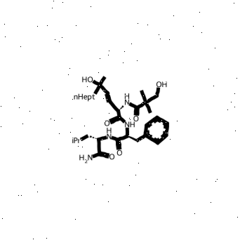 CCCCCCCC(C)(O)/C=C/[C@H](NC(=O)C(C)(C)CO)C(=O)N[C@@H](Cc1ccccc1)C(=O)N[C@@H](CC(C)C)C(N)=O